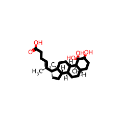 C[C@H](CCCC(=O)O)[C@H]1CC[C@H]2[C@@H]3CC[C@@H]4CCC(O)C(O)(O)[C@]4(C)[C@H]3CC[C@]12C